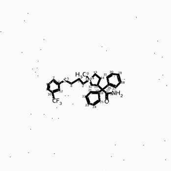 C[N+]1(CCCSc2cccc(C(F)(F)F)c2)CCC(C(C(N)=O)(c2ccccc2)c2ccccc2)C1